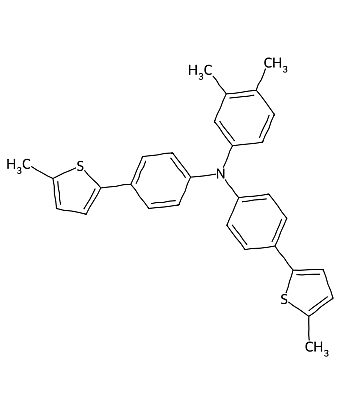 Cc1ccc(-c2ccc(N(c3ccc(-c4ccc(C)s4)cc3)c3ccc(C)c(C)c3)cc2)s1